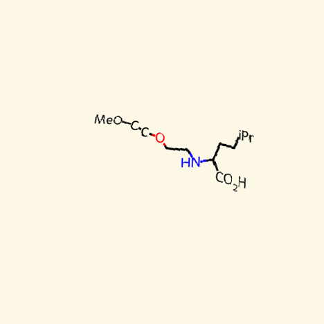 COCCOCCNC(CCC(C)C)C(=O)O